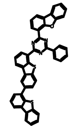 c1ccc(-c2nc(-c3cccc4c3oc3ccccc34)nc(-c3cccc4c3sc3ccc(-c5cccc6c5sc5ccccc56)cc34)n2)cc1